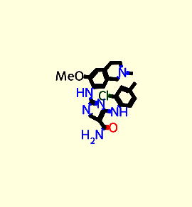 COc1cc2c(cc1Nc1ncc(C(N)=O)c(Nc3ccc(C)cc3Cl)n1)CN(C)CC2